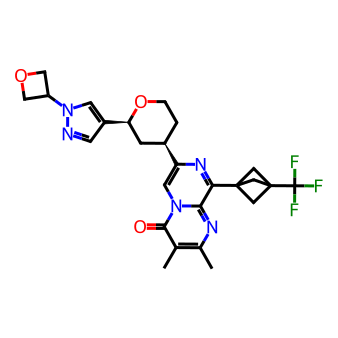 Cc1nc2c(C34CC(C(F)(F)F)(C3)C4)nc([C@@H]3CCO[C@H](c4cnn(C5COC5)c4)C3)cn2c(=O)c1C